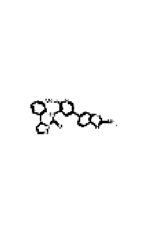 COc1ncc(-c2ccc3nc(N)oc3c2)cc1NC(=O)N1OCC[C@H]1c1ccccc1